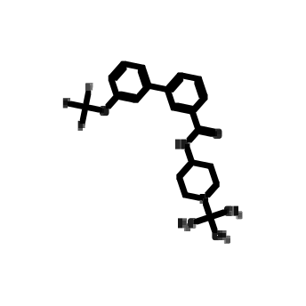 CC(C)(C)N1CCC(NC(=O)c2cccc(-c3cccc(OC(F)(F)F)c3)c2)CC1